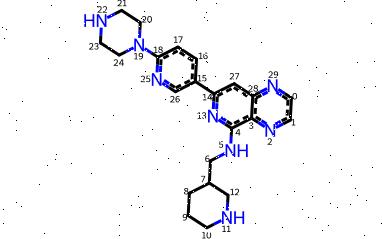 c1cnc2c(NCC3CCCNC3)nc(-c3ccc(N4CCNCC4)nc3)cc2n1